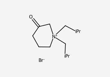 CC(C)C[N+]1(CC(C)C)CCCC(=O)C1.[Br-]